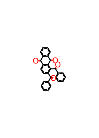 O=C(c1ccccc1)c1ccc2c(c1C(=O)c1ccccc1)C(=O)c1ccccc1C2=O